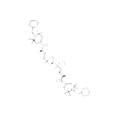 CC(C#N)(CCC(=O)NC1CC(C)(C)N(OC2CCCCC2)C(C)(C)C1)N=NC(C)(C#N)CCC(=O)NC1CC(C)(C)N(OC2CCCCC2)C(C)(C)C1